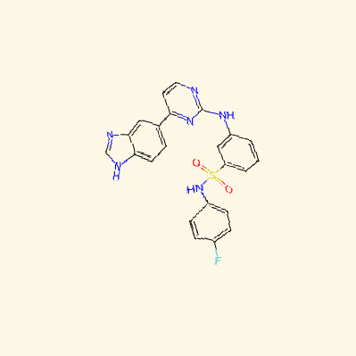 O=S(=O)(Nc1ccc(F)cc1)c1cccc(Nc2nccc(-c3ccc4[nH]cnc4c3)n2)c1